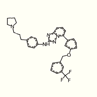 FC(F)(F)c1cccc(COc2cccc(-c3cccc4nc(Nc5ccc(CCCN6CCCC6)cc5)nn34)c2)c1